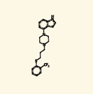 FC(F)(F)c1ccccc1SCCCN1CCN(c2cccc3[nH]ccc23)CC1